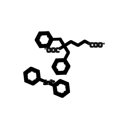 O=C([O-])CCCC(Cc1ccccc1)(Cc1ccccc1)C(=O)[O-].c1cc[c]([Sn+2][c]2ccccc2)cc1